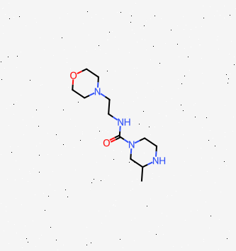 CC1CN(C(=O)NCCN2CCOCC2)CCN1